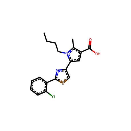 CCCCn1c(-c2csc(-c3ccccc3Cl)n2)cc(C(=O)O)c1C